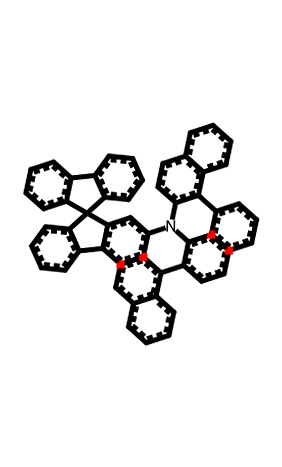 c1ccc(-c2c(N(c3ccc4c(c3)C3(c5ccccc5-c5ccccc53)c3ccccc3-4)c3ccccc3-c3cccc4ccccc34)ccc3ccccc23)cc1